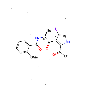 CCC(=O)c1[nH]cc(I)c1C(=O)[C@@H](NC(=O)c1ccccc1OC)C(C)CC